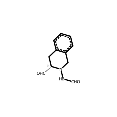 O=CBN1Cc2ccccc2C[C@H]1C=O